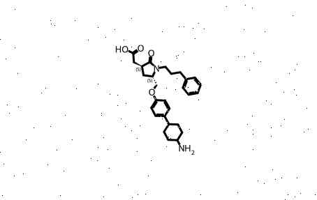 NC1CCC(c2ccc(OC[C@@H]3C[C@@H](CC(=O)O)C(=O)N3CCCc3ccccc3)cc2)CC1